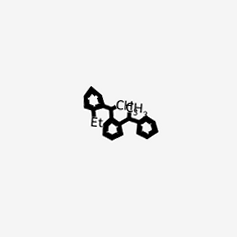 CCc1ccccc1C(C)c1ccccc1C(C)c1ccccc1